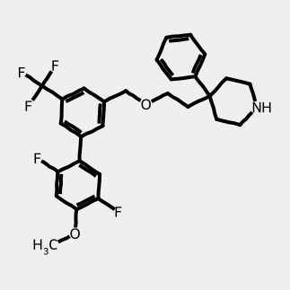 COc1cc(F)c(-c2cc(COCCC3(c4ccccc4)CCNCC3)cc(C(F)(F)F)c2)cc1F